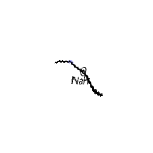 CCCCCCCC/C=C\CCCCCCCC(=O)OCCCCCCCCCCCCCCCC.[NaH]